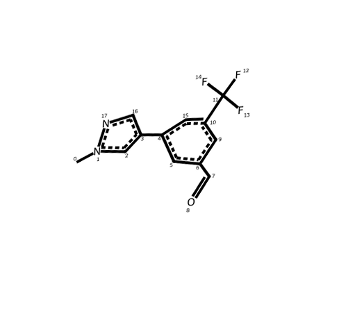 Cn1cc(-c2cc(C=O)cc(C(F)(F)F)c2)cn1